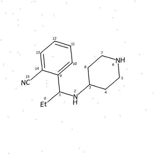 CCC(NC1CCNCC1)c1ccccc1C#N